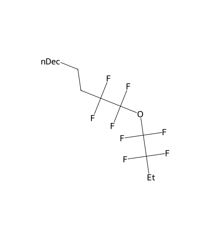 CCCCCCCCCCCCC(F)(F)C(F)(F)OC(F)(F)C(F)(F)CC